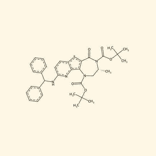 C[C@@H]1CN(C(=O)OC(C)(C)C)c2c(sc3ccc(NC(c4ccccc4)c4ccccc4)nc23)C(=O)N1C(=O)OC(C)(C)C